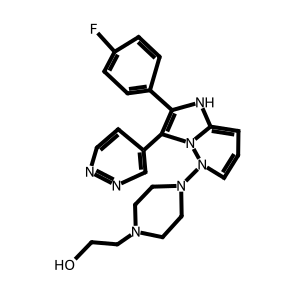 OCCN1CCN(N2C=CC=C3NC(c4ccc(F)cc4)=C(c4ccnnc4)N32)CC1